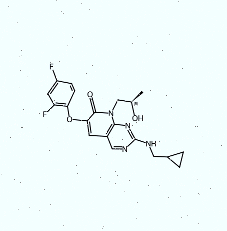 C[C@@H](O)Cn1c(=O)c(Oc2ccc(F)cc2F)cc2cnc(NCC3CC3)nc21